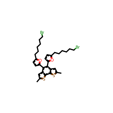 Cc1cc2c(-c3ccc(CCCCCCBr)o3)c(-c3ccc(CCCCCCBr)o3)c3cc(C)sc3c2s1